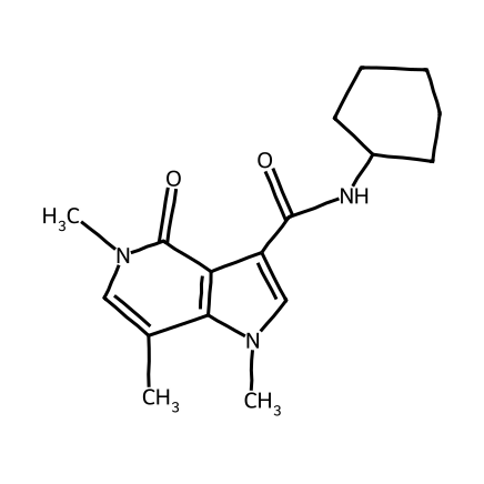 Cc1cn(C)c(=O)c2c(C(=O)NC3CCCCC3)cn(C)c12